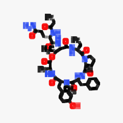 CC(C)CC(=O)N[C@@H](CCC(N)=O)C(=O)N[C@@H]1C(=O)N[C@@H](CC(C)C)C(=O)N2CCC[C@@H]2C(=O)NC(Cc2ccccc2)C(=O)N(C)C(Cc2ccc(O)cc2)C(=O)N[C@@H](C(C)C)C(=O)O[C@@H]1C